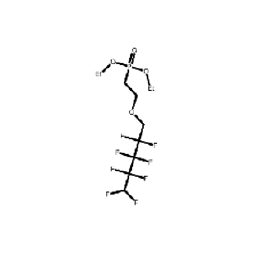 CCOP(=O)(CCOCC(F)(F)C(F)(F)C(F)(F)C(F)F)OCC